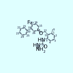 Cc1cccc(NC(=O)NN)c1COc1ccc(F)c(-c2ccccc2)c1